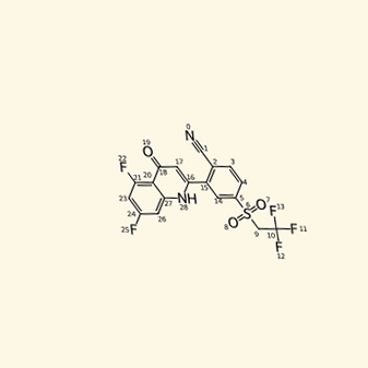 N#Cc1ccc(S(=O)(=O)CC(F)(F)F)cc1-c1cc(=O)c2c(F)cc(F)cc2[nH]1